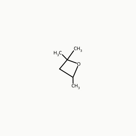 CC1CC(C)(C)O1